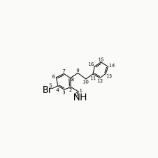 N=Cc1cc(Br)ccc1CCc1ccccc1